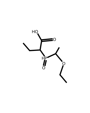 CCOC(C)[PH](=O)C(CC)C(=O)O